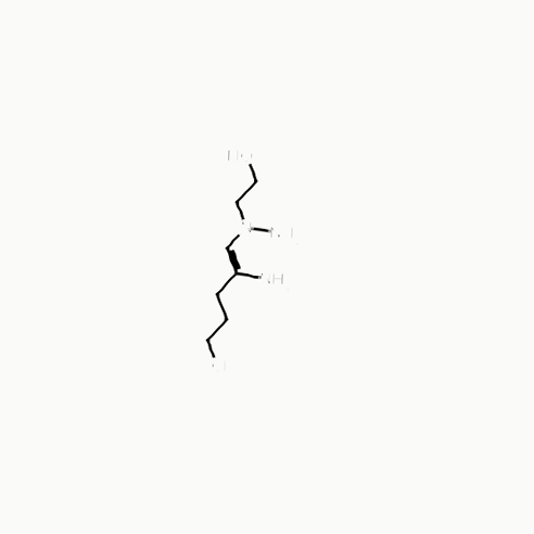 CCCC/C(N)=C/N(N)CCO